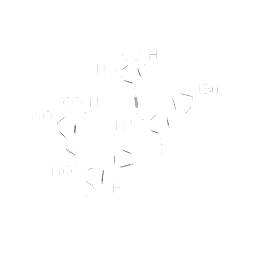 CC(C)(C)c1ccc(-c2cc(C(O)C#Cc3ccc(C(=O)O)c(O)c3)cc3c2C(C)(C)CCC3(C)C)cc1.Cc1ccc(-c2cc(C(O)/C=C/c3ccc(C(=O)O)c(O)c3)cc3c2C(C)(C)CCC3(C)C)cc1